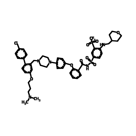 CN(C)CCCOc1ccc(-c2ccc(Cl)cc2)c(CN2CCN(c3ccc(Oc4ccccc4C(=O)NS(=O)(=O)c4ccc(NCC5CCOCC5)c(S(=O)(=O)C(F)(F)F)c4)cc3)CC2)c1